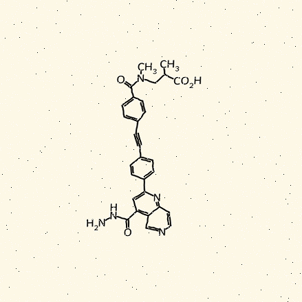 CC(CN(C)C(=O)c1ccc(C#Cc2ccc(-c3cc(C(=O)NN)c4cnccc4n3)cc2)cc1)C(=O)O